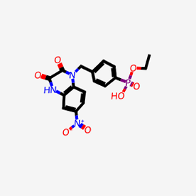 CCOP(=O)(O)c1ccc(Cn2c(=O)c(=O)[nH]c3cc([N+](=O)[O-])ccc32)cc1